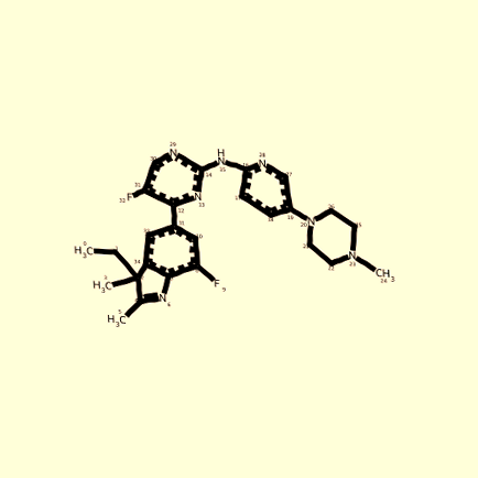 CCC1(C)C(C)=Nc2c(F)cc(-c3nc(Nc4ccc(N5CCN(C)CC5)cn4)ncc3F)cc21